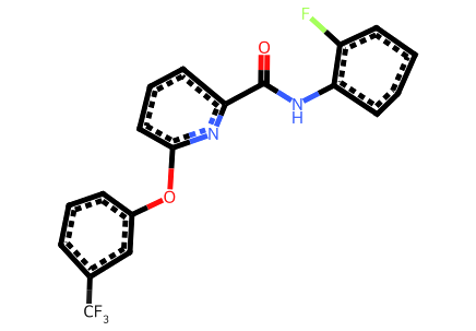 O=C(Nc1ccccc1F)c1cccc(Oc2cccc(C(F)(F)F)c2)n1